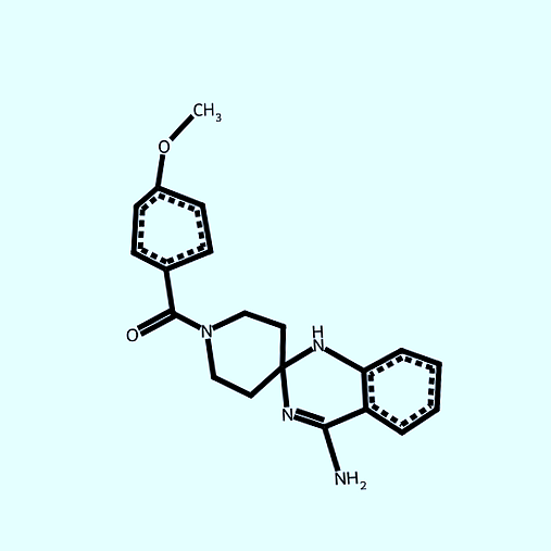 COc1ccc(C(=O)N2CCC3(CC2)N=C(N)c2ccccc2N3)cc1